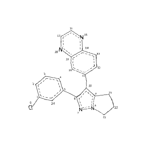 Clc1cccc(-c2nn3c(c2-c2ccc4nccnc4c2)CCC3)c1